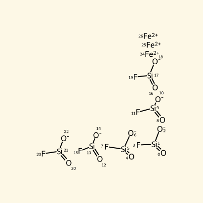 O=[Si]([O-])F.O=[Si]([O-])F.O=[Si]([O-])F.O=[Si]([O-])F.O=[Si]([O-])F.O=[Si]([O-])F.[Fe+2].[Fe+2].[Fe+2]